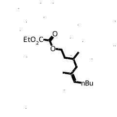 CCCCC=C(C)CC(C)CCOC(=O)C(=O)OCC